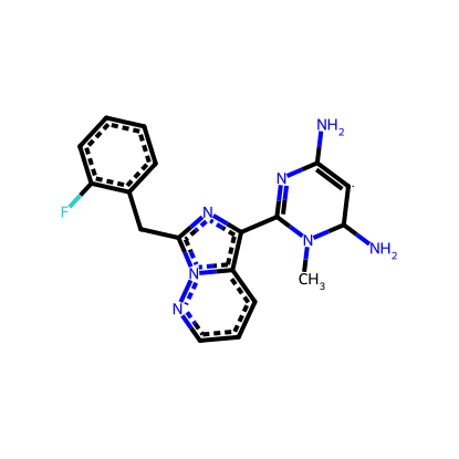 CN1C(c2nc(Cc3ccccc3F)n3ncccc23)=NC(N)=[C]C1N